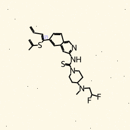 C=C/C=C(\SC(=C)C)c1ccc2cnc(NC(=S)N3CCC(N(C)CC(F)F)CC3)cc2c1